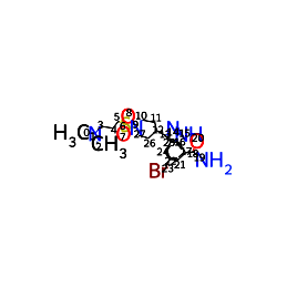 CN(C)CCCS(=O)(=O)N1CCC(c2n[nH]c3c(C(N)=O)cc(Br)cc23)CC1